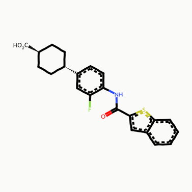 O=C(Nc1ccc([C@H]2CC[C@H](C(=O)O)CC2)cc1F)c1cc2ccccc2s1